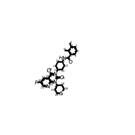 Cc1cccc(C(=O)NC2CCC(n3c(=O)c4cc(F)cnc4n(C4CCSCC4)c3=O)CC2)c1C